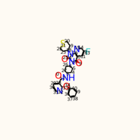 O=C(NC1CCC(n2c(=O)c3cc(F)cnc3n(C3CCSCC3)c2=O)CC1)c1cccnc1Oc1ccccc1